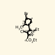 CCOC(=O)c1nn(CC)c(-c2ccc(Br)cc2C)c1Cl